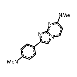 CNc1ccc(-c2cn3ccc(NC)nc3n2)cc1